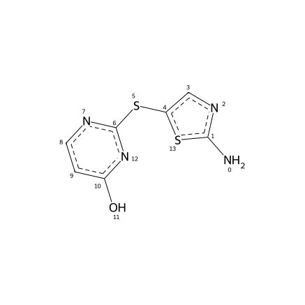 Nc1ncc(Sc2nccc(O)n2)s1